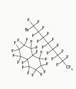 FC(F)(F)C(F)(F)C(F)(F)C(F)(F)C(F)(F)C(F)(F)C(F)(F)C(F)(F)Br.FC1(F)C(F)(F)C(F)(F)C2(F)C(F)(F)C(F)(F)C(F)(F)C(F)(F)C2(F)C1(F)F